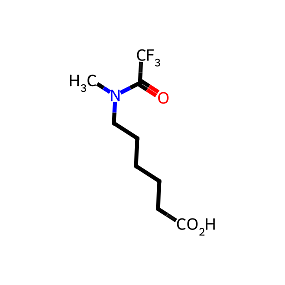 CN(CCCCCC(=O)O)C(=O)C(F)(F)F